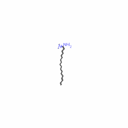 CCCCCCCCCCCCCCCCCC(N)N(C)C